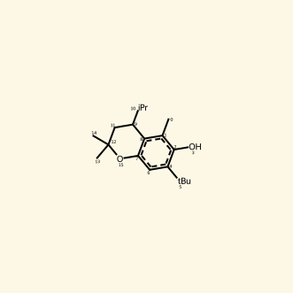 Cc1c(O)c(C(C)(C)C)cc2c1C(C(C)C)CC(C)(C)O2